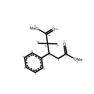 COC(=O)CC(c1ccccc1)C(C)(C)C(=O)OC